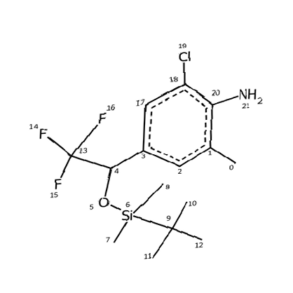 Cc1cc(C(O[Si](C)(C)C(C)(C)C)C(F)(F)F)cc(Cl)c1N